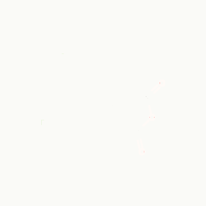 O=C1CC(c2cc(F)cc(F)c2)CC(=O)O1